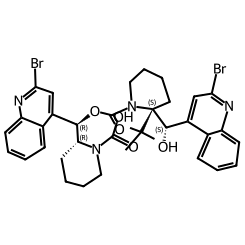 CC(C)(C)[C@]1([C@@H](O)c2cc(Br)nc3ccccc23)CCCCN1C(=O)O[C@H](c1cc(Br)nc2ccccc12)[C@H]1CCCCN1C(=O)O